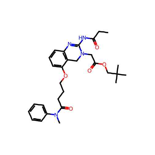 CCC(=O)NC1=Nc2cccc(OCCCC(=O)N(C)c3ccccc3)c2CN1CC(=O)OCC(C)(C)C